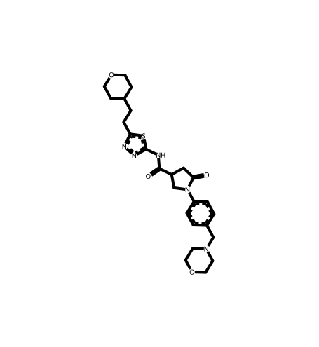 O=C(Nc1nnc(CCC2CCOCC2)s1)C1CC(=O)N(c2ccc(CN3CCOCC3)cc2)C1